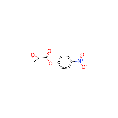 O=C(Oc1ccc([N+](=O)[O-])cc1)C1CO1